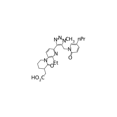 CCCc1ccc(=O)n(Cc2c(-c3ccc(N4CCCC(CC(=O)O)C4=O)c(CC)n3)nnn2C)c1